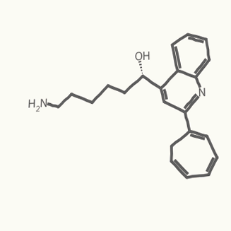 NCCCCC[C@H](O)c1cc(C2=CC=CC=CC2)nc2ccccc12